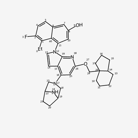 CCc1c(F)ccc2cc(O)cc(-n3ccc4c(N5CC6CCC(C5)N6)cc(OCC56CCCCC5CCC6)nc43)c12